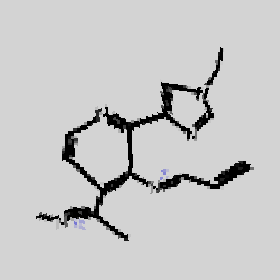 C=C/C=N/c1c(/C(C)=N\C)ccnc1-c1cn(C)cn1